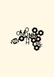 COCCN(C(C)=O)c1cc(N2CCN(C)CC2)ccc1C(=O)NC(=N)c1cc(Cc2cccc(F)c2)c(Br)cc1NC(c1ccccc1)(c1ccccc1)c1ccccc1